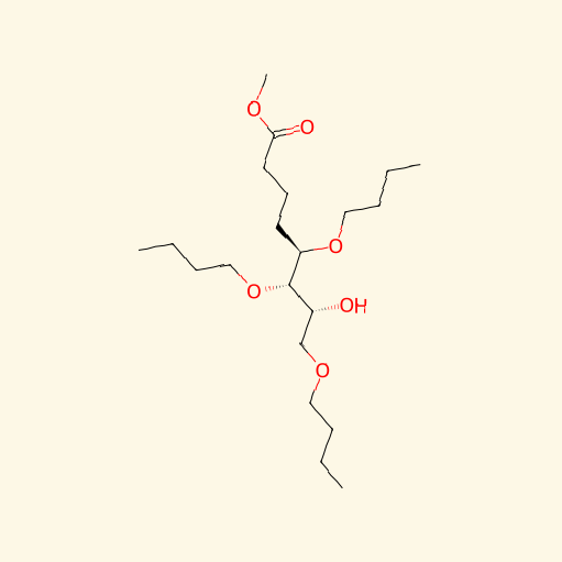 CCCCOC[C@@H](O)[C@H](OCCCC)[C@@H](CCCC(=O)OC)OCCCC